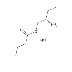 CCCC(=O)OCC(N)CC.Cl